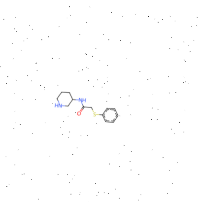 O=C(CSc1cc[c]cc1)NC1CCCNC1